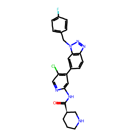 O=C(Nc1cc(-c2ccc3nnn(Cc4ccc(F)cc4)c3c2)c(Cl)cn1)[C@@H]1CCCNC1